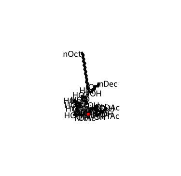 CCCCCCCC/C=C\CCCCCCCCCCCCCCCC(=O)N[C@@H](CO[C@@H]1OC(CO)[C@@H](O[C@@H]2OC(CO)[C@H](O)[C@H](O[C@]3(C(=O)O)CC(O)[C@@H](NC(C)=O)C([C@H](O)[C@@H](CO)O[C@]4(C(=O)O)CC(O)[C@@H](NC(C)=O)C([C@H](O)[C@@H](CO)O[C@]5(C(=O)O)CC(O)[C@@H](NC(C)=O)C([C@H](O)[C@H](O)COC(C)=O)O5)O4)O3)C2O)[C@H](O)C1O)[C@H](O)/C=C/CCCCCCCCCCCCC